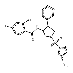 Cn1cnc(S(=O)(=O)N2CC(NC(=O)c3ccc(F)cc3Cl)C(c3ccccc3)C2)c1